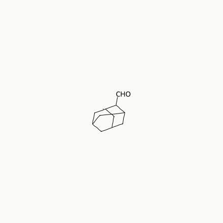 O=CC1[C]2CC3CC(C2)CC1C3